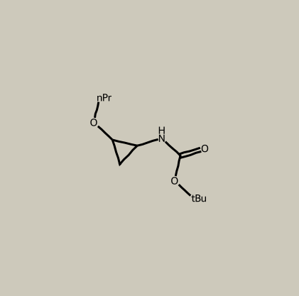 CCCOC1CC1NC(=O)OC(C)(C)C